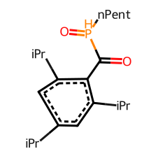 CCCCC[PH](=O)C(=O)c1c(C(C)C)cc(C(C)C)cc1C(C)C